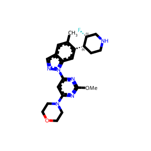 COc1nc(N2CCOCC2)cc(-n2ncc3cc(C)c([C@H]4CCNC[C@H]4F)cc32)n1